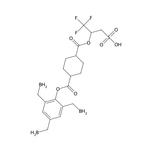 BCc1cc(CB)c(OC(=O)C2CCC(C(=O)OC(CS(=O)(=O)O)C(F)(F)F)CC2)c(CB)c1